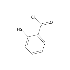 O=C(Cl)c1ccccc1S